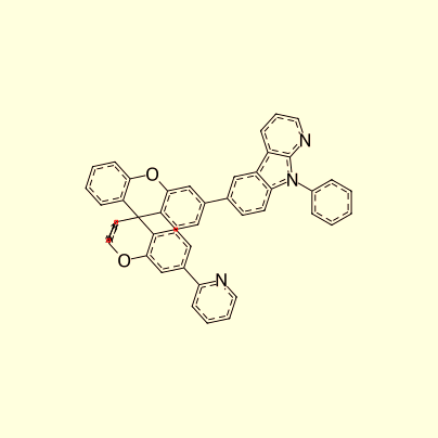 c1ccc(-n2c3ccc(-c4ccc5c(c4)Oc4ccccc4C54c5ccccc5Oc5cc(-c6ccccn6)ccc54)cc3c3cccnc32)cc1